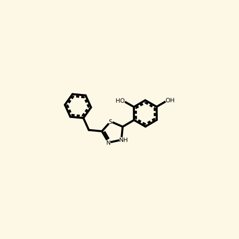 Oc1ccc(C2NN=C(Cc3ccccc3)S2)c(O)c1